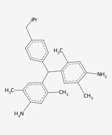 Cc1cc(C(c2ccc(CC(C)C)cc2)c2cc(C)c(N)cc2C)c(C)cc1N